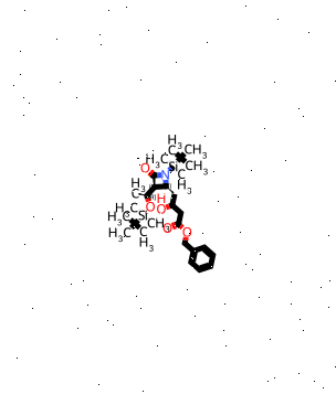 C[C@@H](O[Si](C)(C)C(C)(C)C)[C@H]1C(=O)N([Si](C)(C)C(C)(C)C)[C@@H]1CC(O)CC(=O)OCc1ccccc1